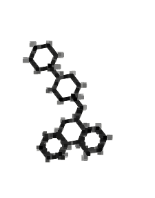 C(=C1Cc2cccnc2-c2ncccc21)N1CCC(N2CCCCC2)CC1